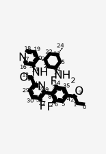 CCC(=O)c1cc(F)c(-c2nc(C(=O)Nc3cnccc3[C@@H]3C[C@H](C)C[C@@H](N)C3)ccc2F)c(F)c1